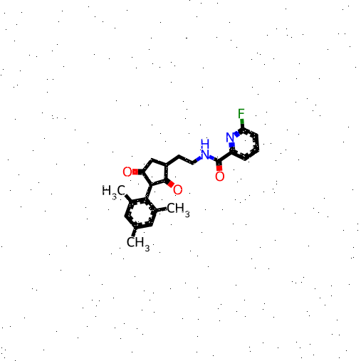 Cc1cc(C)c(C2C(=O)CC(CCNC(=O)c3cccc(F)n3)C2=O)c(C)c1